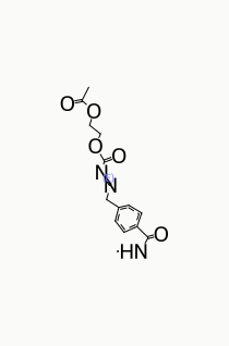 CC(=O)OCCOC(=O)/N=N/Cc1ccc(C([NH])=O)cc1